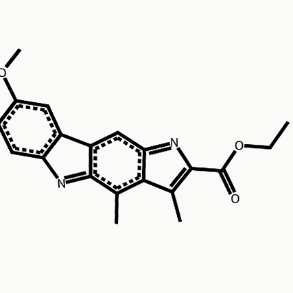 CCOC(=O)C1=C(C)c2c(C)c3c(cc2=N1)-c1cc(OC)ccc1N=3